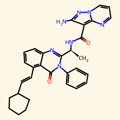 C[C@H](NC(=O)c1c(N)nn2cccnc12)c1nc2cccc(/C=C/C3CCCCC3)c2c(=O)n1-c1ccccc1